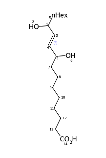 CCCCCCC(O)/C=C/C(O)CCCCCCCC(=O)O